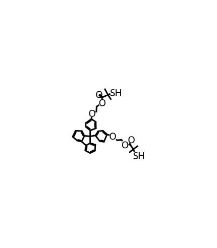 CC(C)(S)C(=O)OCCOc1ccc(C2(c3ccc(OCCOC(=O)C(C)(C)S)cc3)c3ccccc3-c3ccccc32)cc1